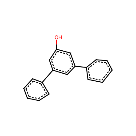 Oc1[c]c(-c2ccccc2)cc(-c2ccccc2)c1